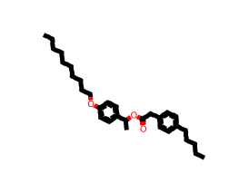 CCCCCCCCCCOc1ccc(C(C)OC(=O)Cc2ccc(CCCCC)cc2)cc1